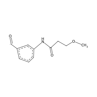 COCCC(=O)Nc1cccc([C]=O)c1